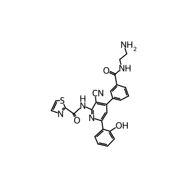 N#Cc1c(-c2cccc(C(=O)NCCN)c2)cc(-c2ccccc2O)nc1NC(=O)c1nccs1